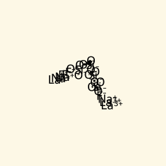 O=[Si]([O-])[O-].O=[Si]([O-])[O-].O=[Si]([O-])[O-].O=[Si]([O-])[O-].[F-].[F-].[F-].[F-].[La+3].[La+3].[La+3].[Na+].[Na+].[Na+]